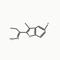 CC/C(=N\O)c1oc2ccc(F)cc2c1C